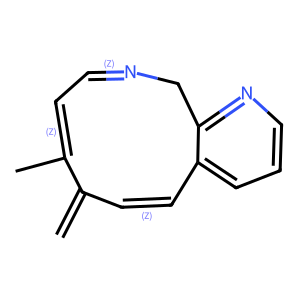 C=C1/C=C\c2cccnc2C/N=C\C=C/1C